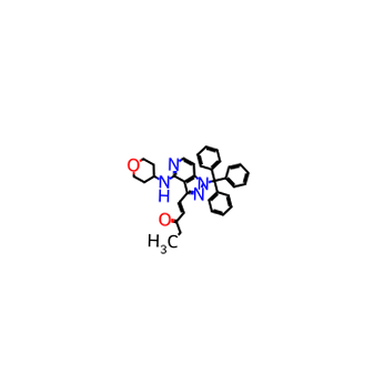 CCC(=O)/C=C/c1nn(C(c2ccccc2)(c2ccccc2)c2ccccc2)c2ccnc(NC3CCOCC3)c12